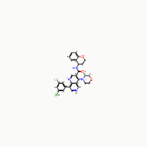 O=C(NC1CCOc2ccccc21)c1cnc2c(-c3cc(Cl)cc(Cl)c3)cncc2c1N1CCOCC1